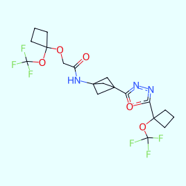 O=C(COC1(OC(F)(F)F)CCC1)NC12CC(c3nnc(C4(OC(F)(F)F)CCC4)o3)(C1)C2